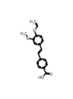 C=COc1ccc(C=Cc2ccc(C(=O)O)cc2)cc1OC